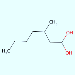 CCCCC(C)CC(O)O